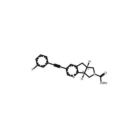 COC(=O)N1C[C@H]2Cc3cc(C#Cc4cccc(F)c4)cnc3[C@H]2C1